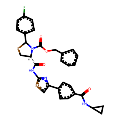 O=C(NC1CC1)c1ccc(-c2csc(NC(=O)[C@@H]3CSC(c4ccc(F)cc4)N3C(=O)OCc3ccccc3)n2)cc1